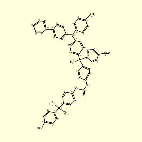 COc1ccc(C(C)(c2ccc(OC(=O)Oc3ccc(C(C)(C)c4ccc(OC(C)=O)cc4)cc3)cc2)c2ccc(N(c3ccc(C)cc3)c3ccc(-c4ccccc4)cc3)cc2)cc1